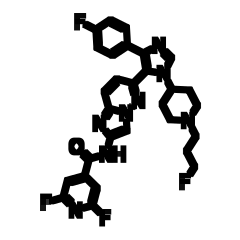 O=C(Nc1cn2nc(-c3c(-c4ccc(F)cc4)ncn3C3CCN(CCCF)CC3)ccc2n1)c1cc(F)nc(F)c1